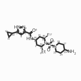 CC[C@H]1C[C@@H](NC(=O)c2cc(C3CC3)[nH]n2)C[C@@H](F)N1S(=O)(=O)N1CCC(N)CC1